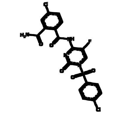 NC(=O)c1cc(Cl)ccc1C(=O)Nc1nc(=O)n(S(=O)(=O)c2ccc(Cl)cc2)cc1F